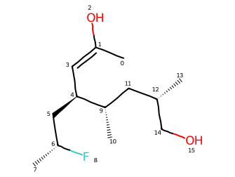 C/C(O)=C\[C@H](C[C@@H](C)F)[C@@H](C)C[C@H](C)CO